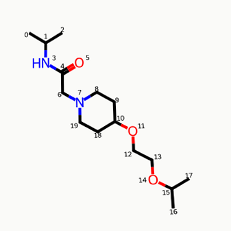 CC(C)NC(=O)CN1CCC(OCCOC(C)C)CC1